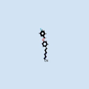 N#C/C=C/C=C/CC[C@H]1CC[C@H](OCc2ccc(F)cc2)CC1